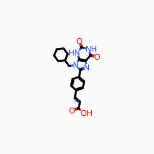 O=C(O)/C=C/c1ccc(-c2nc3c(=O)[nH]c(=O)[nH]c3n2CC2CCCCC2)cc1